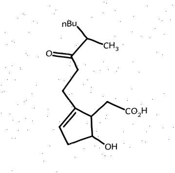 CCCCC(C)C(=O)CCC1=CCC(O)C1CC(=O)O